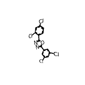 Clc1cc(Cl)cc(-c2nnc(-c3ccc(Cl)cc3Cl)o2)c1